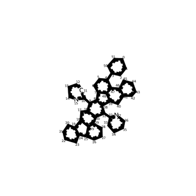 c1ccc(-c2ccc3c4c(-c5ccccn5)c5cc6c7ccccc7c7cccc(c5c(-c5ccccn5)c4c4cc5ccccc5c2c34)c76)cc1